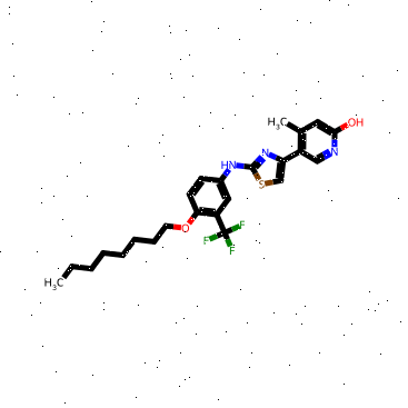 CCCCCCCCOc1ccc(Nc2nc(-c3cnc(O)cc3C)cs2)cc1C(F)(F)F